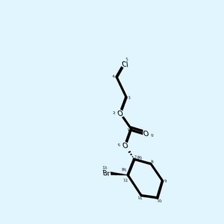 O=C(OCCCl)O[C@@H]1CCCC[C@H]1Br